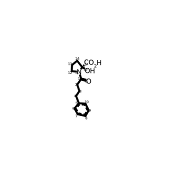 O=C(CCCc1ccccc1)N1CCC[C@@]1(O)C(=O)O